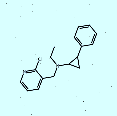 CCN(Cc1cccnc1Cl)C1CC1c1ccccc1